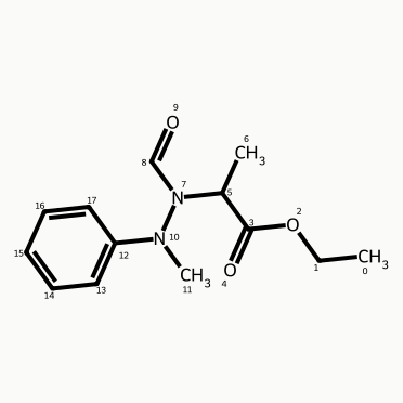 CCOC(=O)C(C)N(C=O)N(C)c1ccccc1